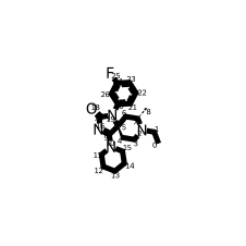 CCN1CC[C@@]2(C[C@@H]1C)C(N1CCCCC1)=NC(=O)N2c1cccc(F)c1